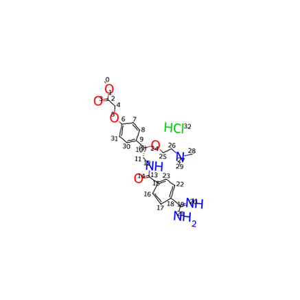 COC(=O)COc1ccc([C@@H](CNC(=O)c2ccc(C(=N)N)cc2)OCCN(C)C)cc1.Cl